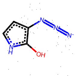 [N-]=[N+]=Nc1cc[nH]c1O